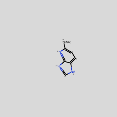 CC(=O)Nc1ccc2[nH]cnc2n1